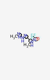 C=C1C=C(c2ccnc(Nc3ccnc(C)n3)c2)C=C(N2CCOCC2C(F)(F)F)N1